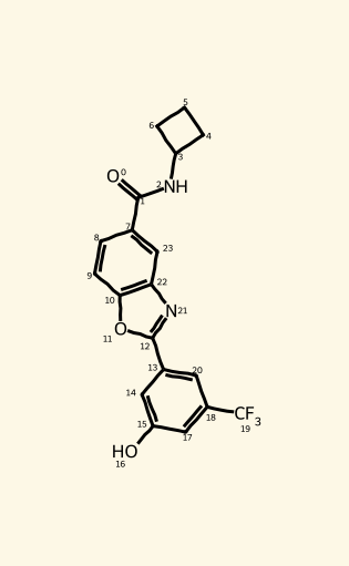 O=C(NC1CCC1)c1ccc2oc(-c3cc(O)cc(C(F)(F)F)c3)nc2c1